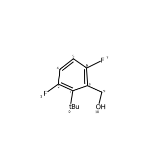 CC(C)(C)c1c(F)ccc(F)c1CO